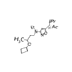 CCN(CCC(C)OC1CCC1)c1cc([C@@H](C(C)=O)C(C)C)on1